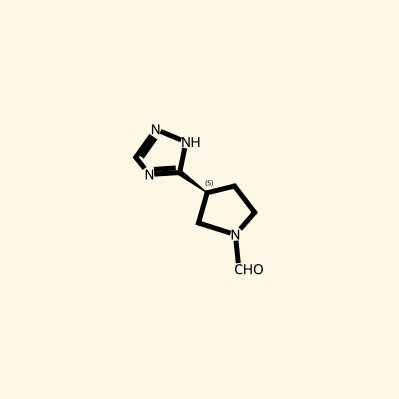 O=CN1CC[C@H](c2ncn[nH]2)C1